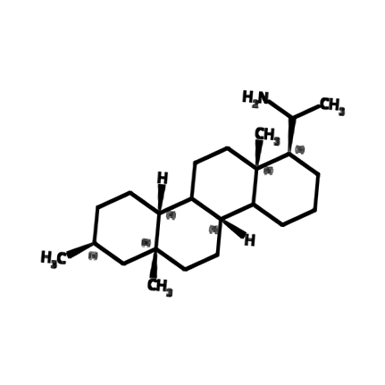 CC(N)[C@H]1CCCC2[C@@H]3CC[C@]4(C)C[C@@H](C)CC[C@@H]4C3CC[C@@]21C